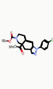 COC(=O)C12Cc3cnn(-c4ccc(Cl)cc4)c3C=C1CCN(C(=O)OC(C)(C)C)C2